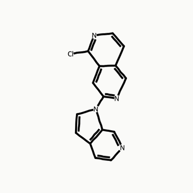 Clc1nccc2cnc(-n3ccc4ccncc43)cc12